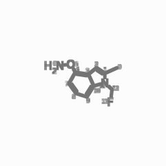 Cc1cc2c(ON)cccc2n1CF